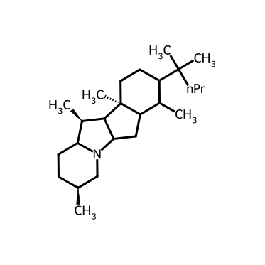 CCCC(C)(C)C1CC[C@@]2(C)C(CC3C2[C@H](C)C2CC[C@H](C)CN32)C1C